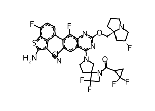 N#Cc1c(N)sc2c(F)ccc(-c3c(Cl)cc4c(N5CCC6(C5)N(C(=O)C5CC5(F)F)CC6(F)F)nc(OC[C@@]56CCCN5C[C@H](F)C6)nc4c3F)c12